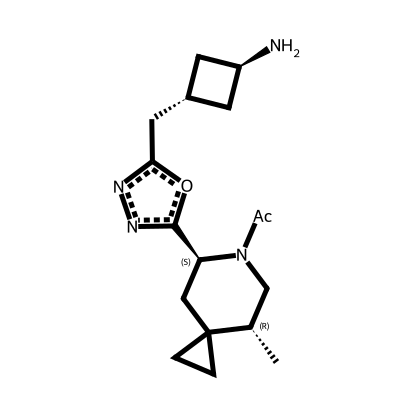 CC(=O)N1C[C@H](C)C2(CC2)C[C@H]1c1nnc(C[C@H]2C[C@H](N)C2)o1